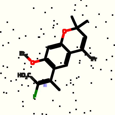 CCOc1cc2c(cc1/C(C)=C(/F)C(=O)O)C(C(C)C)=CC(C)(C)O2